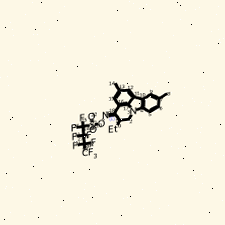 CCC1Cn2c3ccc(C)cc3c3cc(C)cc(c32)/C1=N/OS(=O)(=O)C(F)(F)C(F)(F)C(F)(F)C(F)(F)F